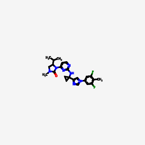 Cc1c(F)cc(-n2cnc(C3(Nc4nccc(N5C(=O)N(C)CC5C(C)C)n4)CC3)c2)cc1F